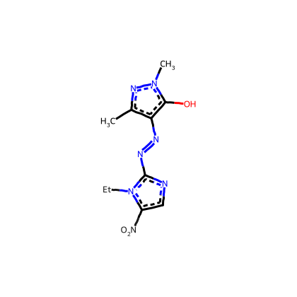 CCn1c([N+](=O)[O-])cnc1N=Nc1c(C)nn(C)c1O